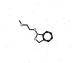 COCCOB1OCc2ccccc21